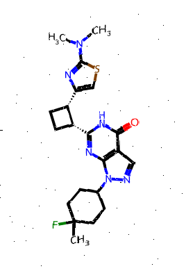 CN(C)c1nc([C@H]2CC[C@H]2c2nc3c(cnn3C3CCC(C)(F)CC3)c(=O)[nH]2)cs1